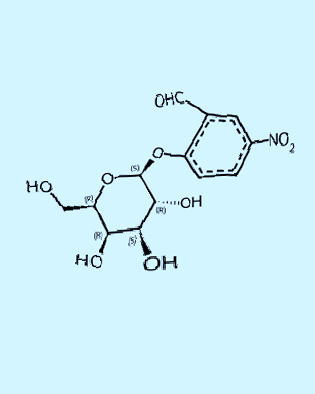 O=Cc1cc([N+](=O)[O-])ccc1O[C@@H]1O[C@H](CO)[C@H](O)[C@H](O)[C@H]1O